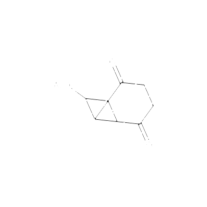 CC(=O)OC1C2C3C(=O)CCC(=O)C132